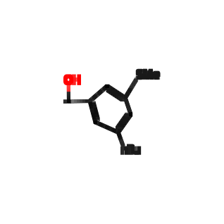 CCCCc1cc([CH]O)cc(SC)c1